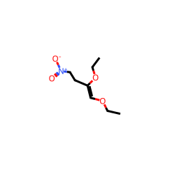 CCOC=C(CC[N+](=O)[O-])OCC